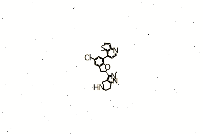 Cn1nc2c(c1[C@H]1Cc3cc(Cl)cc(-c4ccnc5ccsc45)c3O1)CNCC2